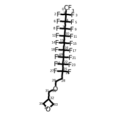 FC(F)(F)C(F)(F)C(F)(F)C(F)(F)C(F)(F)C(F)(F)C(F)(F)C(F)(F)C(F)(F)C(F)(F)CCOCC1COC1